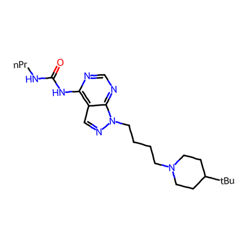 CCCNC(=O)Nc1ncnc2c1cnn2CCCCN1CCC(C(C)(C)C)CC1